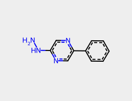 NNc1cnc(-c2ccccc2)cn1